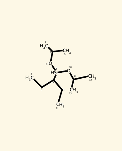 CCC(CC)[SiH](OC(C)C)OC(C)C